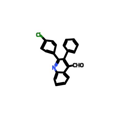 O=Cc1c(-c2ccccc2)c(-c2ccc(Cl)cc2)nc2ccccc12